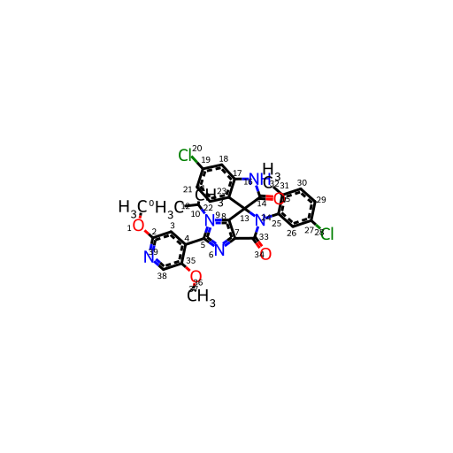 COc1cc(-c2nc3c(n2C(C)C)C2(C(=O)Nc4cc(Cl)ccc42)N(c2cc(Cl)ccc2C)C3=O)c(OC)cn1